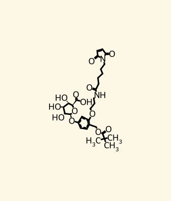 CC(C)(C)C(=O)OCc1ccc(O[C@@H]2O[C@H](C(=O)O)[C@@H](O)[C@H](O)[C@@H]2O)cc1OCCCNC(=O)CCCCCN1C(=O)C=CC1=O